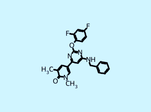 Cc1cc(-c2cc(NCc3ccccc3)nc(Oc3ccc(F)cc3F)n2)cn(C)c1=O